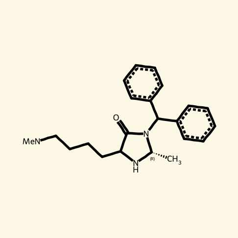 CNCCCCC1N[C@@H](C)N(C(c2ccccc2)c2ccccc2)C1=O